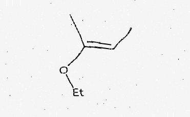 [CH2]COC(C)=CC